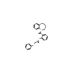 O=C(CNc1ccccc1)Nc1ccccc1C(=O)N1CCCCc2ccccc21